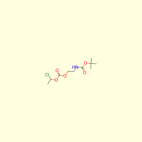 CC(Cl)OC(=O)OCCNC(=O)OC(C)(C)C